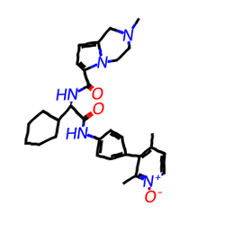 Cc1cc[n+]([O-])c(C)c1-c1ccc(NC(=O)[C@@H](NC(=O)c2ccc3n2CCN(C)C3)C2CCCCC2)cc1